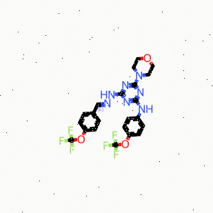 FC(F)(F)Oc1ccc(/C=N/Nc2nc(Nc3ccc(OC(F)(F)F)cc3)nc(N3CCOCC3)n2)cc1